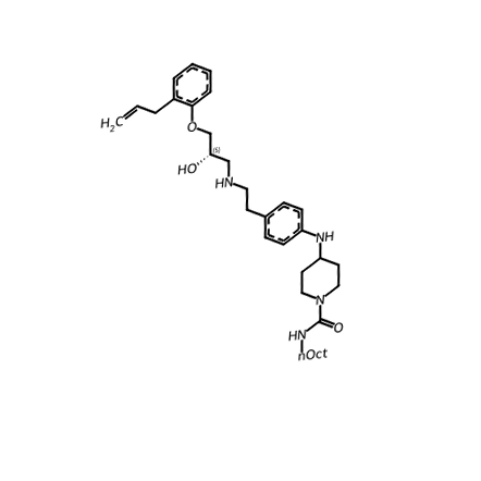 C=CCc1ccccc1OC[C@@H](O)CNCCc1ccc(NC2CCN(C(=O)NCCCCCCCC)CC2)cc1